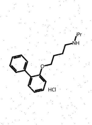 CC(C)NCCCCOc1ccccc1-c1ccccc1.Cl